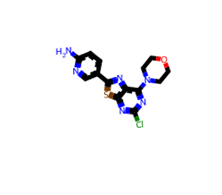 Nc1ccc(-c2nc3c(N4CCOCC4)nc(Cl)nc3s2)cn1